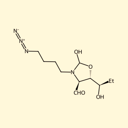 CC[C@@H](O)[C@H]1OC(O)N(CCCCN=[N+]=[N-])[C@@H]1C=O